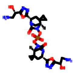 NC[C@H](O)c1nnc([C@@H]2CC3(CC3)[C@@H]3CN2C(=O)N3OS(=O)(=O)ON2C(=O)N3C[C@H]2C2(CC2)C[C@H]3c2nnc([C@@H](O)CN)o2)o1